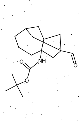 CC(C)(C)OC(=O)NC12CCCC3CC1CC(C=O)(C3)C2